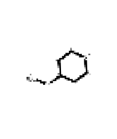 CC(C)(C)OC1CCSCC1